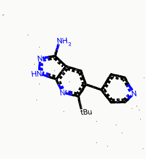 CC(C)(C)c1nc2[nH]nc(N)c2cc1-c1ccncc1